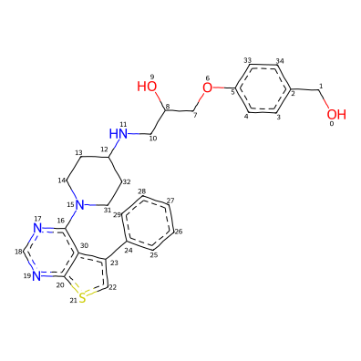 OCc1ccc(OCC(O)CNC2CCN(c3ncnc4scc(-c5ccccc5)c34)CC2)cc1